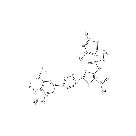 COc1cc(-c2ccc(-c3cc(NP(=O)(OC)c4ccc(C)cc4C)c(C(=O)O)s3)cc2)cc(OC)c1OC